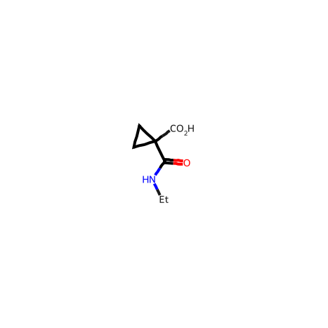 CCNC(=O)C1(C(=O)O)CC1